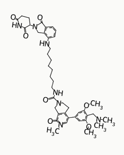 COc1cc(-c2cn(C)c(=O)c3c2CCN(C(=O)NCCCCCCCCNc2cccc4c2CN(C2CCC(=O)NC2=O)C4=O)C3)cc(OC)c1CN(C)C